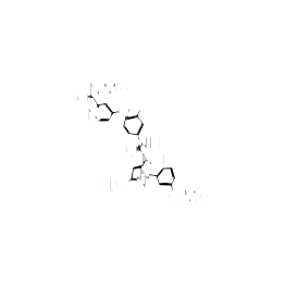 CNC(=O)c1cc(Oc2ccc(NC(=O)Nc3cc(C(C)(C)C)nn3-c3cccc(OC)c3)cc2C)ccn1